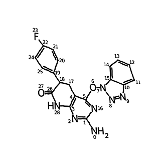 Nc1nc2c(c(On3nnc4ccccc43)n1)CC(c1ccc(F)cc1)C(=O)N2